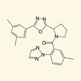 Cc1cc(C)cc(-c2nnc(C3CCCN3C(=O)c3cc(C)ccc3-n3nccn3)o2)c1